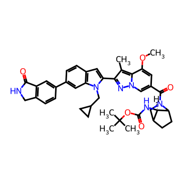 COc1cc(C(=O)N2CC3CCC2[C@@H]3NC(=O)OC(C)(C)C)cn2nc(-c3cc4ccc(-c5ccc6c(c5)C(=O)NC6)cc4n3CC3CC3)c(C)c12